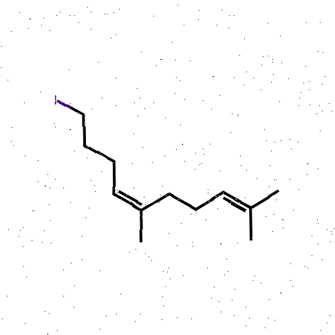 CC(C)=CCC/C(C)=C\CCCI